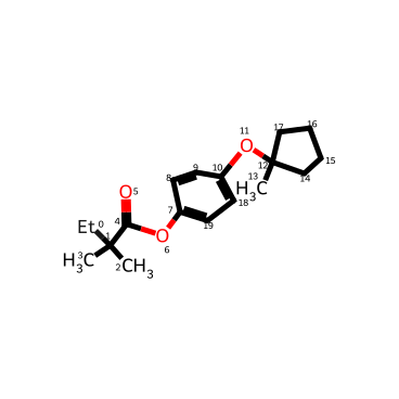 CCC(C)(C)C(=O)Oc1ccc(OC2(C)CCCC2)cc1